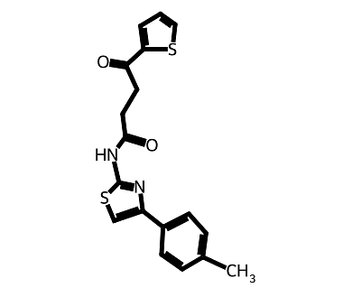 Cc1ccc(-c2csc(NC(=O)CCC(=O)c3cccs3)n2)cc1